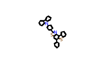 c1ccc(-c2cc3sc(-c4ccc(-n5c6ccccc6c6ccccc65)cc4)nc3c3c2sc2ccccc23)cc1